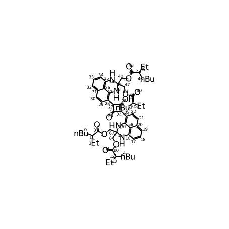 CCCCC(CC)C(=O)OCC1(COC(=O)C(CC)CCCC)Nc2cccc3ccc(C4=C(O)C(c5ccc6cccc7c6c5NC(COC(=O)C(CC)CCCC)(COC(=O)C(CC)CCCC)N7)C4=O)c(c23)N1